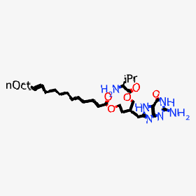 CCCCCCCCC=CCCCCCCCCCC(=O)OCCC(COC(=O)[C@@H](N)C(C)C)Cc1nc2nc(N)[nH]c(=O)c2[nH]1